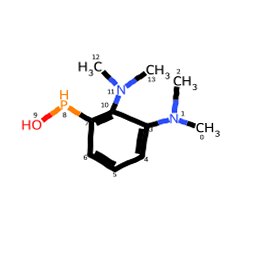 CN(C)c1cccc(PO)c1N(C)C